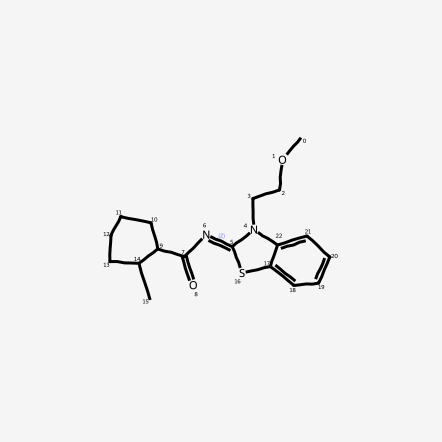 COCCn1/c(=N/C(=O)C2CCCCC2C)sc2ccccc21